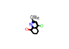 COc1cc(Cl)c2c(n1)C(=O)CCC2